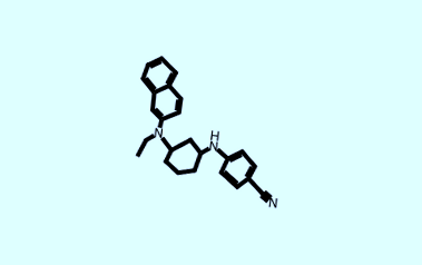 CCN(c1ccc2ccccc2c1)C1CCCC(Nc2ccc(C#N)cc2)C1